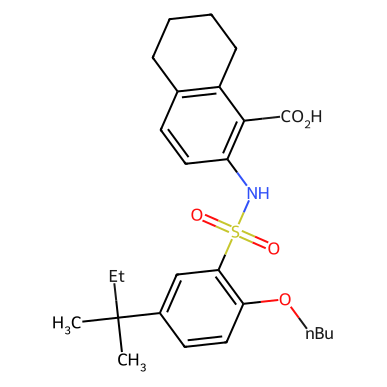 CCCCOc1ccc(C(C)(C)CC)cc1S(=O)(=O)Nc1ccc2c(c1C(=O)O)CCCC2